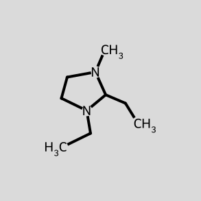 CCC1N(C)CCN1CC